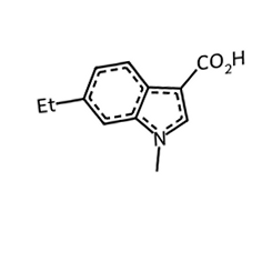 CCc1ccc2c(C(=O)O)cn(C)c2c1